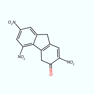 O=C1CC2=C(C=C1[N+](=O)[O-])Cc1cc([N+](=O)[O-])cc([N+](=O)[O-])c12